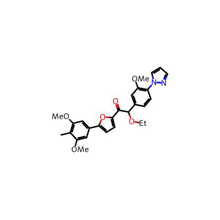 CCOC(C(=O)c1ccc(-c2cc(OC)c(C)c(OC)c2)o1)c1ccc(-n2cccn2)c(OC)c1